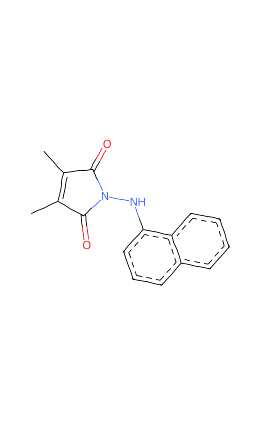 CC1=C(C)C(=O)N(Nc2cccc3ccccc23)C1=O